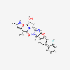 Cc1cc(C(C(=O)N2C[C@H](O)C[C@H]2C2=NC(=O)C(C)(c3ccc(-c4ccccc4F)cc3)N2)C(C)C)on1